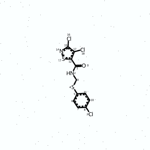 O=C(NCSc1ccc(Cl)cc1)c1snc(Cl)c1Cl